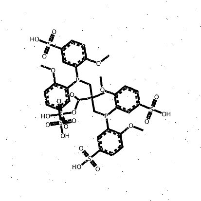 COc1ccc(S(=O)(=O)O)cc1P(CC(C)(CP(c1cc(S(=O)(=O)O)ccc1OC)c1cc(S(=O)(=O)O)ccc1OC)C(O)OS(=O)(=O)O)c1cc(S(=O)(=O)O)ccc1OC